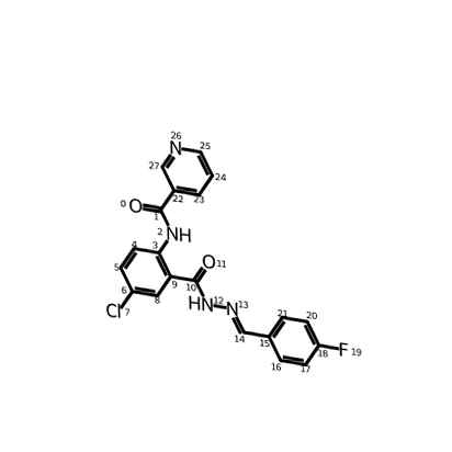 O=C(Nc1ccc(Cl)cc1C(=O)N/N=C/c1ccc(F)cc1)c1cccnc1